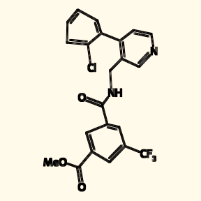 COC(=O)c1cc(C(=O)NCc2cnccc2-c2ccccc2Cl)cc(C(F)(F)F)c1